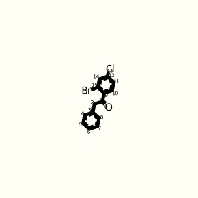 O=C(Cc1ccccc1)c1ccc(Cl)cc1Br